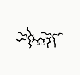 CCCC[Si](CCCC)(CCCC)C(CCC)OC(=O)CC(O)C(=O)OC(CCC)[Si](CCCC)(CCCC)CCCC